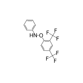 FC(F)(F)c1ccc(ONc2ccccc2)c(C(F)(F)F)c1